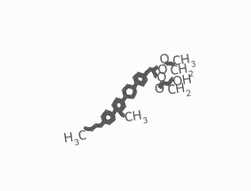 C=C(C)C(=O)OCC(COC(=O)C(=C)CO)Cc1ccc(C2CCC(c3ccc(-c4ccc(CCCCC)cc4)c(CC)c3)CC2)cc1